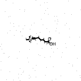 C[Si](C)(C)C#CCCCCC(=O)O